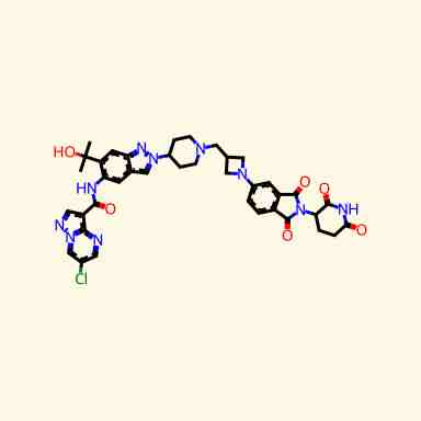 CC(C)(O)c1cc2nn(C3CCN(CC4CN(c5ccc6c(c5)C(=O)N(C5CCC(=O)NC5=O)C6=O)C4)CC3)cc2cc1NC(=O)c1cnn2cc(Cl)cnc12